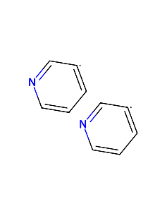 [c]1cccnc1.[c]1cccnc1